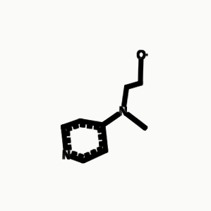 CN(CC[O])c1ccncc1